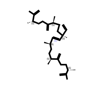 C=C[C@@](C)(/C=C/[C@H](C)CC[C@H](C)C(=C)CC[C@H](C)C(=C)C)CC[C@H](C)C(=C)CC[C@H](C)C(=C)C